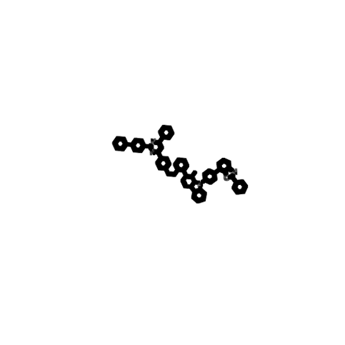 CC1=C(c2ccccc2/C=C\c2ccc(-c3cc(-c4ccccc4)nc(-c4ccc(-c5ccccc5)cc4)n3)cc2)C=CC2c3ccccc3N(c3ccc(-c4cccc5nc(-c6ccccc6)oc45)cc3)C12